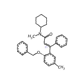 Cc1ccc(OCc2ccccc2)c(/C(=C/C(=O)N(C)C2CCCCC2)c2ccccc2)c1